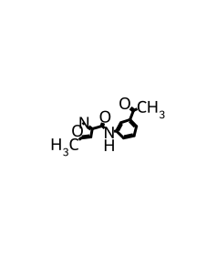 CC(=O)c1cccc(NC(=O)c2cc(C)on2)c1